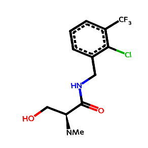 CN[C@@H](CO)C(=O)NCc1cccc(C(F)(F)F)c1Cl